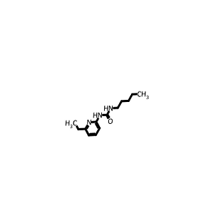 CCCCCNC(=O)Nc1cccc(CC)n1